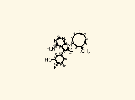 C=C1/C=C\C=C/CCC(n2c(F)c(-c3cc(O)c(F)c(F)c3)c3c(N)ncnc32)C1